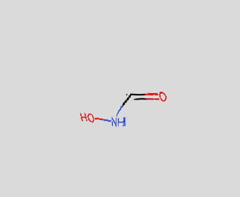 O=[C]NO